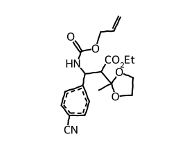 C=CCOC(=O)NC(c1ccc(C#N)cc1)C(C(=O)OCC)C1(C)OCCO1